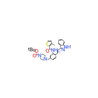 Cc1ccsc1C(=O)Nc1cc(CN2CCN(C(=O)OC(C)(C)C)CC2)ccc1/C=C/c1n[nH]c2ccccc12